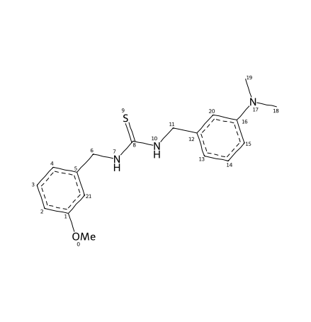 COc1cccc(CNC(=S)NCc2cccc(N(C)C)c2)c1